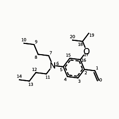 C=Cc1ccc(N(CCCC)CCCC)cc1OC(C)C